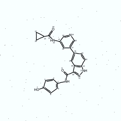 O=C(Nc1ccc(O)cc1)c1n[nH]c2ccc(-c3cncc(NC(=O)C4CC4)c3)cc12